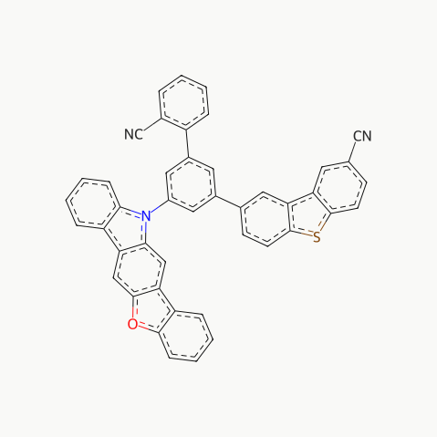 N#Cc1ccc2sc3ccc(-c4cc(-c5ccccc5C#N)cc(-n5c6ccccc6c6cc7oc8ccccc8c7cc65)c4)cc3c2c1